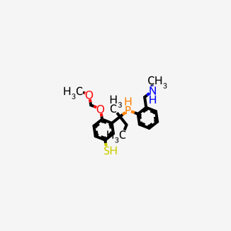 CCC(C)(Pc1ccccc1CNC)c1cc(S)ccc1OCOC